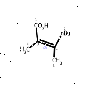 CCCC/C(C)=C(/C)C(=O)O